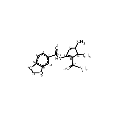 CC1SC(NC(=O)c2ccc3c(c2)OCO3)=C(C(N)=O)C1C